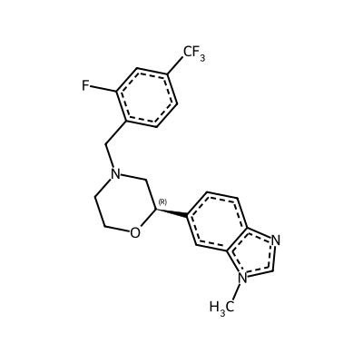 Cn1cnc2ccc([C@@H]3CN(Cc4ccc(C(F)(F)F)cc4F)CCO3)cc21